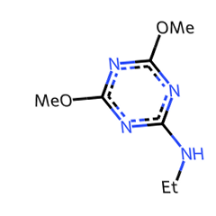 CCNc1nc(OC)nc(OC)n1